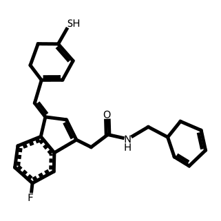 O=C(CC1=C/C(=C\C2=CC=C(S)CC2)c2ccc(F)cc21)NCC1C=CC=CC1